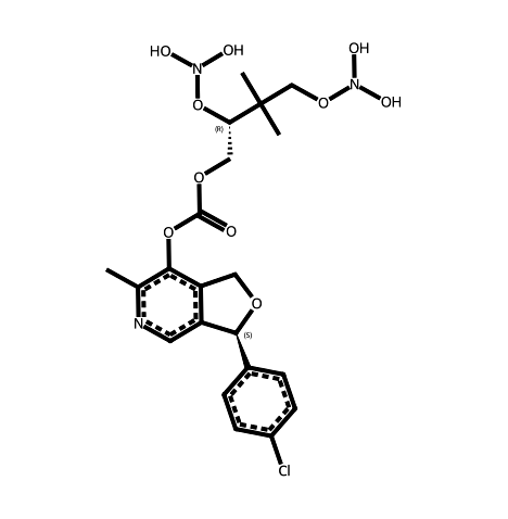 Cc1ncc2c(c1OC(=O)OC[C@H](ON(O)O)C(C)(C)CON(O)O)CO[C@H]2c1ccc(Cl)cc1